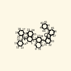 C1=Cc2c(-c3ccc(N(c4ccccc4)c4ccccc4)c4ccccc34)ccc(-c3cccc4c3oc3c(-c5ccccc5)cccc34)c2CC1